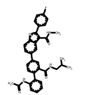 CNC(=O)c1c(-c2ccc(F)cc2)oc2ccc(-c3ccc(-c4ccccc4NC(C)=O)c(C(=O)NCC(C)C)c3)cc12